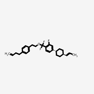 C=CCCc1ccc(CCOC(F)(F)c2ccc([C@H]3CC[C@H](/C=C/C)CC3)cc2F)cc1